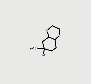 NC1(C(=O)O)CCC2OCCOC2C1